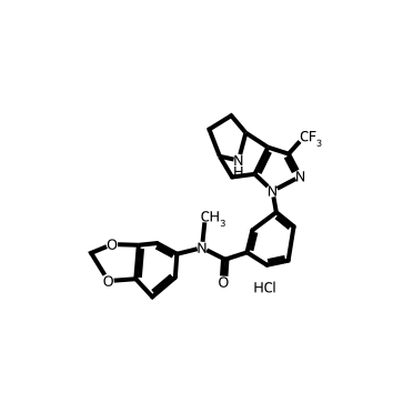 CN(C(=O)c1cccc(-n2nc(C(F)(F)F)c3c2CC2CCC3N2)c1)c1ccc2c(c1)OCO2.Cl